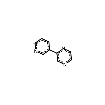 [c]1ccc(-c2cnccn2)cn1